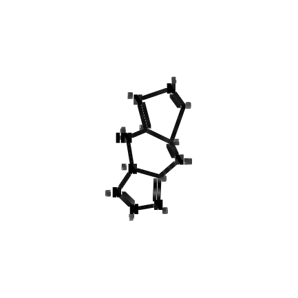 c1nnc2[nH]n3nnnc3nc1-2